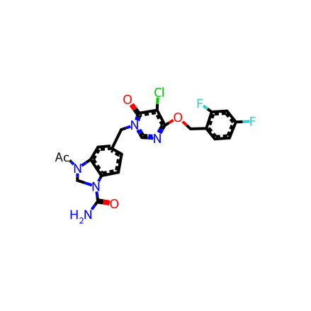 CC(=O)N1CN(C(N)=O)c2ccc(Cn3cnc(OCc4ccc(F)cc4F)c(Cl)c3=O)cc21